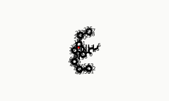 C=C(/C=C\C=C/C)c1ccc2c(c1Nc1cccc(-c3cccc(C4=CCCC=C4)c3)c1)c1ccccc1n2-c1cccc(-c2cccc(-c3ccccc3)c2)c1